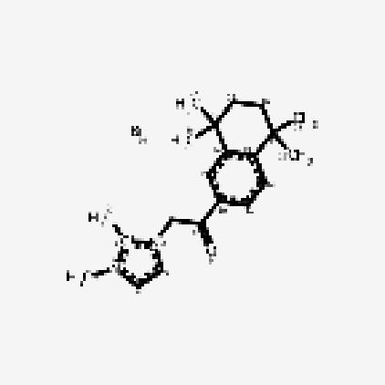 C[c+]1n(C)ccn1CC(=O)c1ccc2c(c1)C(C)(C)CCC2(C)C.[Br-]